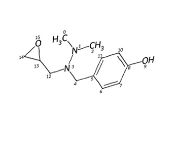 CN(C)N(Cc1ccc(O)cc1)CC1CO1